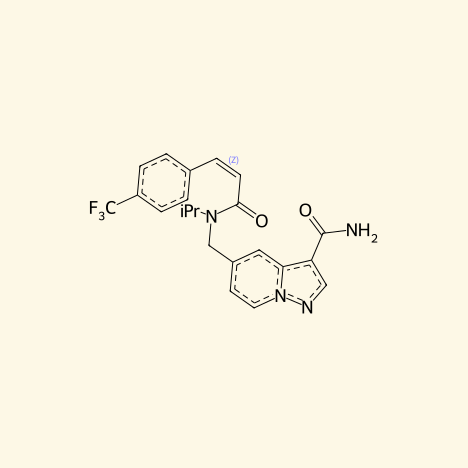 CC(C)N(Cc1ccn2ncc(C(N)=O)c2c1)C(=O)/C=C\c1ccc(C(F)(F)F)cc1